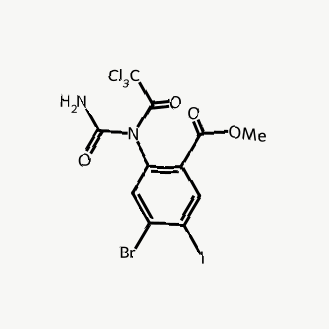 COC(=O)c1cc(I)c(Br)cc1N(C(N)=O)C(=O)C(Cl)(Cl)Cl